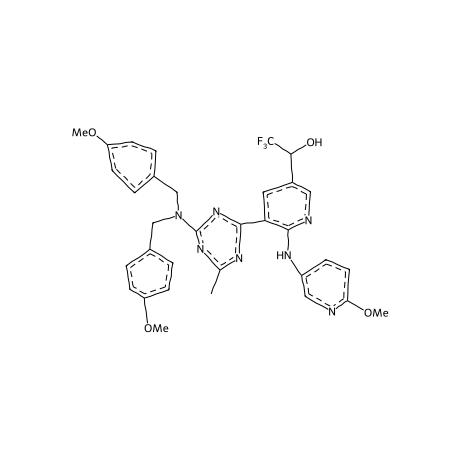 COc1ccc(CN(Cc2ccc(OC)cc2)c2nc(C)nc(-c3cc(C(O)C(F)(F)F)cnc3Nc3ccc(OC)nc3)n2)cc1